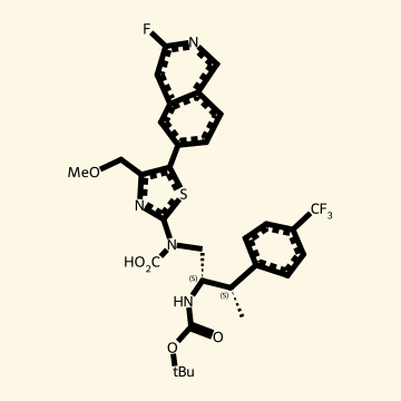 COCc1nc(N(C[C@@H](NC(=O)OC(C)(C)C)[C@@H](C)c2ccc(C(F)(F)F)cc2)C(=O)O)sc1-c1ccc2cnc(F)cc2c1